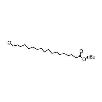 CCCCOC(=O)CCCCCCCCCCCCCCCCC[O]